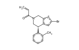 C=CC(=O)N1Cc2sc(Br)cc2[C@@H](c2ccccc2C)C1